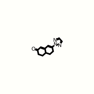 O=C1C=C2C=C(n3nccn3)CCC2CC1